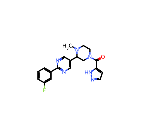 CN1CCN(C(=O)c2ccn[nH]2)CC1c1cnc(-c2cccc(F)c2)nc1